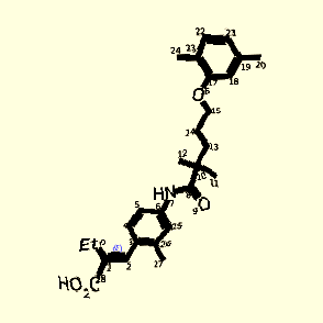 CC/C(=C\c1ccc(NC(=O)C(C)(C)CCCOc2cc(C)ccc2C)cc1C)C(=O)O